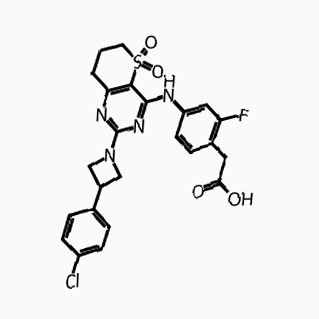 O=C(O)Cc1ccc(Nc2nc(N3CC(c4ccc(Cl)cc4)C3)nc3c2S(=O)(=O)CCC3)cc1F